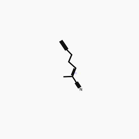 C#CCC/C=C(\C)C#N